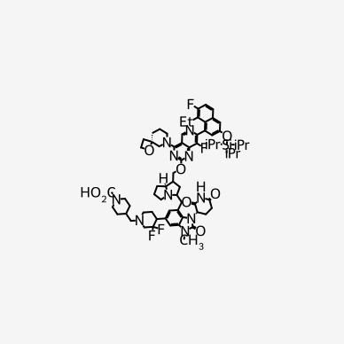 CCc1c(F)ccc2cc(O[Si](C(C)C)(C(C)C)C(C)C)cc(-c3ncc4c(N5CCC[C@]6(CCO6)C5)nc(OCC5CC(Cc6cc(C7CCN(CC8CCN(C(=O)O)CC8)CC7(F)F)cc7c6n([C@H]6CCC(=O)NC6=O)c(=O)n7C)N6CCC[C@@H]56)nc4c3F)c12